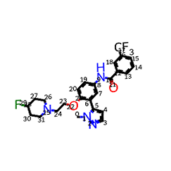 Cn1nccc1-c1cc(NC(=O)c2cccc(C(F)(F)F)c2)ccc1OCCN1CCC(F)CC1